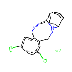 Cl.Clc1cc(Cl)c2c(c1)N=C1C3C=CC(C3)N1C2